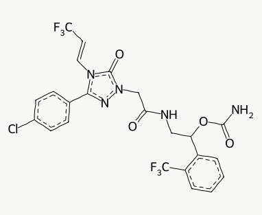 NC(=O)OC(CNC(=O)Cn1nc(-c2ccc(Cl)cc2)n(C=CC(F)(F)F)c1=O)c1ccccc1C(F)(F)F